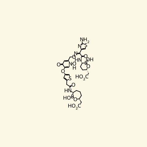 Nc1nc(/C(=N/OCc2cc(=O)c(Oc3csc(CC(=O)N[C@H]4CCC[C@@H](CC(=O)O)OB4O)c3)cn2O)C(=O)N[C@H]2CC[C@@H](CC(=O)O)OB2O)cs1